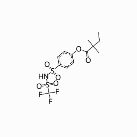 CCC(C)(C)C(=O)Oc1ccc(S(=O)(=O)NS(=O)(=O)C(F)(F)F)cc1